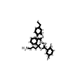 CCc1ccc2nc(N3N=C(c4cc(F)ccc4F)SC3(CCCN)c3ccccc3)sc2c1